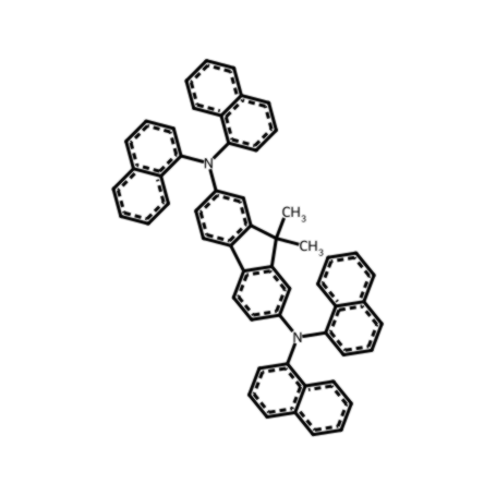 CC1(C)c2cc(N(c3cccc4ccccc34)c3cccc4ccccc34)ccc2-c2ccc(N(c3cccc4ccccc34)c3cccc4ccccc34)cc21